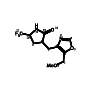 COCc1ocnc1CC1CC(C(F)(F)F)NC1=O